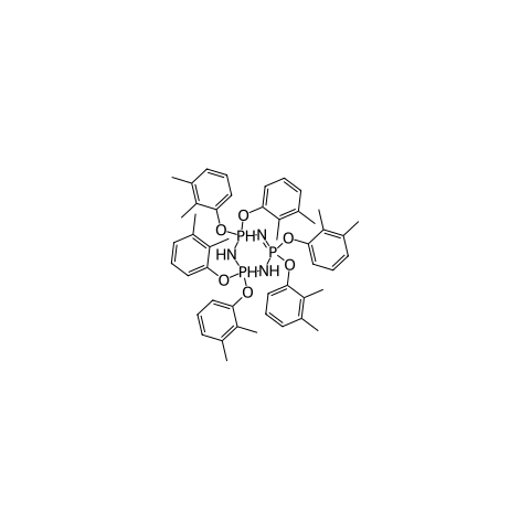 Cc1cccc(OP2(Oc3cccc(C)c3C)=N[PH](Oc3cccc(C)c3C)(Oc3cccc(C)c3C)N[PH](Oc3cccc(C)c3C)(Oc3cccc(C)c3C)N2)c1C